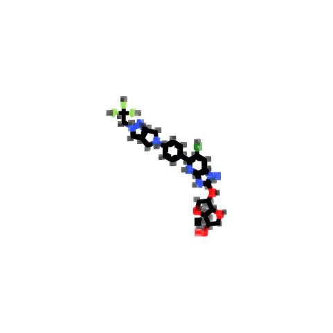 O[C@@H]1COC2[C@H](Oc3nc4nc(-c5ccc(N6Cc7cn(CC(F)(F)F)nc7C6)cc5)c(Cl)cc4[nH]3)CO[C@@H]21